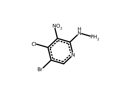 O=[N+]([O-])c1c(NP)ncc(Br)c1Cl